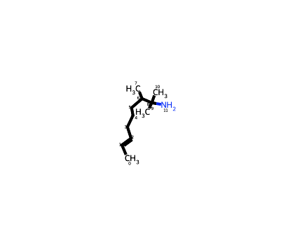 CC=CCCCC(C)C(C)(C)N